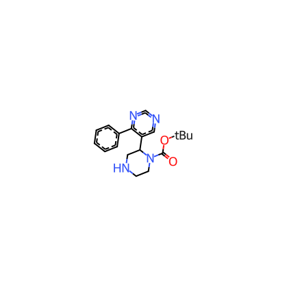 CC(C)(C)OC(=O)N1CCNCC1c1cncnc1-c1ccccc1